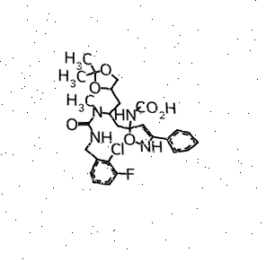 CN(C(=O)NCc1cccc(F)c1Cl)C(CC1COC(C)(C)O1)CC1(NC(=O)O)C=C(c2ccccc2)NO1